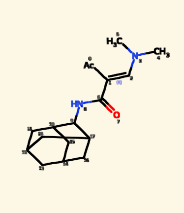 CC(=O)/C(=C\N(C)C)C(=O)NC1C2CC3CC(C2)CC1C3